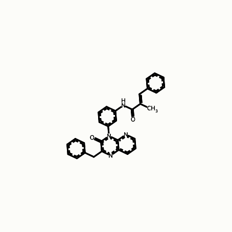 C/C(=C\c1ccccc1)C(=O)Nc1cccc(-n2c(=O)c(Cc3ccccc3)nc3cccnc32)c1